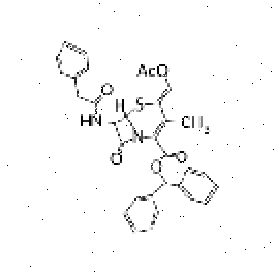 CC(=O)OC=C1S[C@H]2C(NC(=O)Cc3ccccc3)C(=O)N2C(C(=O)OC(c2ccccc2)c2ccccc2)=C1C